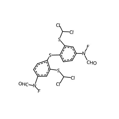 O=CN(F)c1ccc(Sc2ccc(N(F)C=O)cc2SC(Cl)Cl)c(SC(Cl)Cl)c1